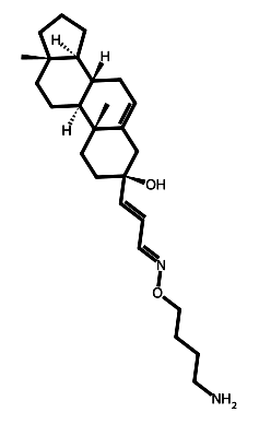 C[C@@]12CCC[C@H]1[C@@H]1CC=C3C[C@](O)(C=CC=NOCCCCN)CC[C@]3(C)[C@H]1CC2